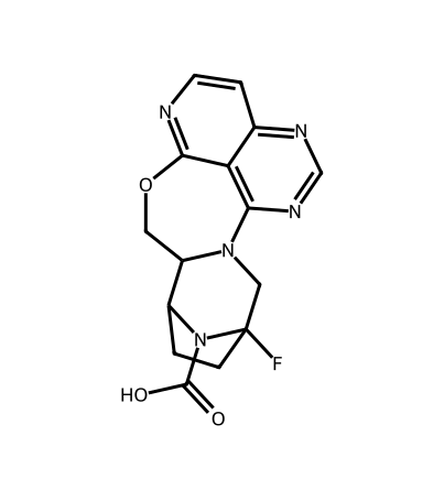 O=C(O)N1C2CCC1(F)CN1c3ncnc4ccnc(c34)OCC21